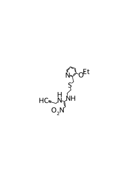 C#CCNC(=C[N+](=O)[O-])NCCSCc1ncccc1OCC